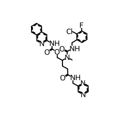 CN(C(=O)NCc1cccc(F)c1Cl)C(CCC(=O)NCc1cnccn1)COC(=O)Nc1cc2ccccc2cn1